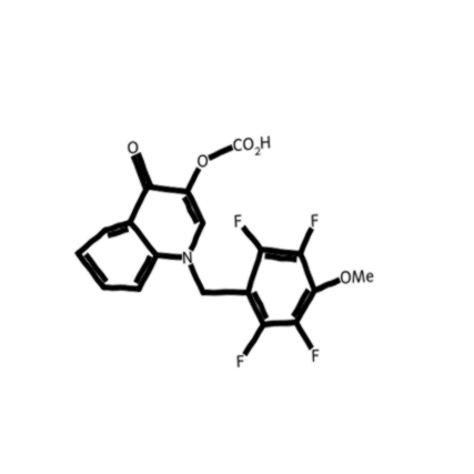 COc1c(F)c(F)c(Cn2cc(OC(=O)O)c(=O)c3ccccc32)c(F)c1F